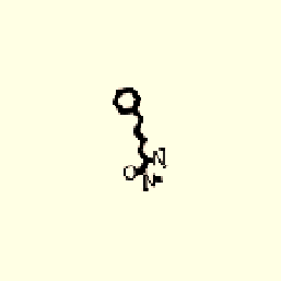 CN(C)C(=O)C(C/C=C/CC1CCCCC1)N(C)C